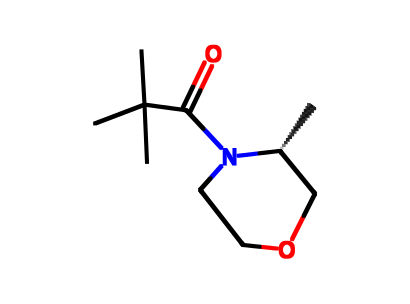 C[C@@H]1COCCN1C(=O)C(C)(C)C